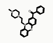 CN1CCN(CCN2c3ccccc3Sc3ccc(C(=O)c4ccccc4)cc32)CC1